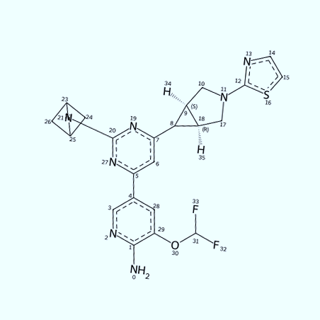 Nc1ncc(-c2cc(C3[C@H]4CN(c5nccs5)C[C@@H]34)nc(N3CC4CC3C4)n2)cc1OC(F)F